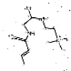 CC=CC(=O)NCC(CC)PCC[N+](C)(C)C